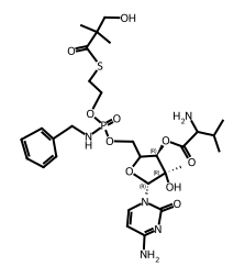 CC(C)C(N)C(=O)O[C@@H]1C(COP(=O)(NCc2ccccc2)OCCSC(=O)C(C)(C)CO)O[C@@H](n2ccc(N)nc2=O)[C@]1(C)O